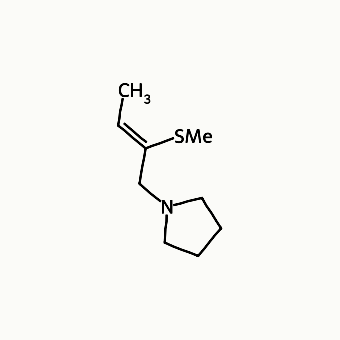 C/C=C(/CN1CCCC1)SC